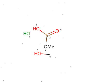 CO.COS(=O)O.Cl